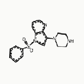 O=S(=O)(c1ccccc1)n1cc(N2CCNCC2)c2ncccc21